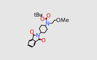 COCCN(C(=O)OC(C)(C)C)C1CCC(N2C(=O)c3ccccc3C2=O)CC1